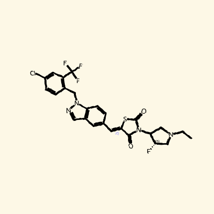 CCN1CC(N2C(=O)S/C(=C\c3ccc4c(cnn4Cc4ccc(Cl)cc4C(F)(F)F)c3)C2=O)[C@@H](F)C1